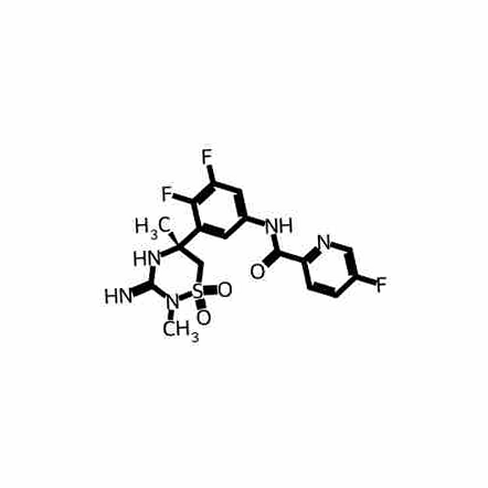 CN1C(=N)N[C@](C)(c2cc(NC(=O)c3ccc(F)cn3)cc(F)c2F)CS1(=O)=O